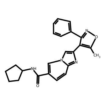 Cc1onc(-c2ccccc2)c1-c1cn2cc(C(=O)NC3CCCC3)ccc2n1